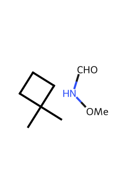 CC1(C)CCC1.CONC=O